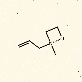 C=CC[N+]1(C)CCO1